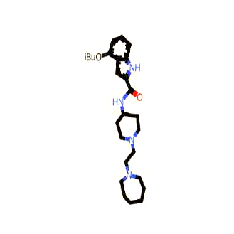 CC(C)COc1cccc2[nH]c(C(=O)NC3CCN(CCN4CCCCCC4)CC3)cc12